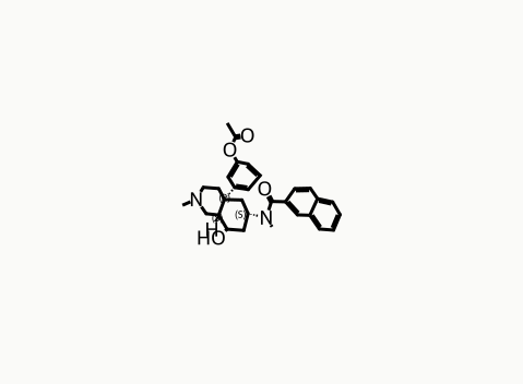 CC(=O)Oc1cccc([C@@]23CCN(C)C[C@H]2C(O)C[C@@H](N(C)C(=O)c2ccc4ccccc4c2)C3)c1